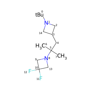 CC(C)(C)N1CC(CC(C)(C)N2CC(F)(F)C2)C1